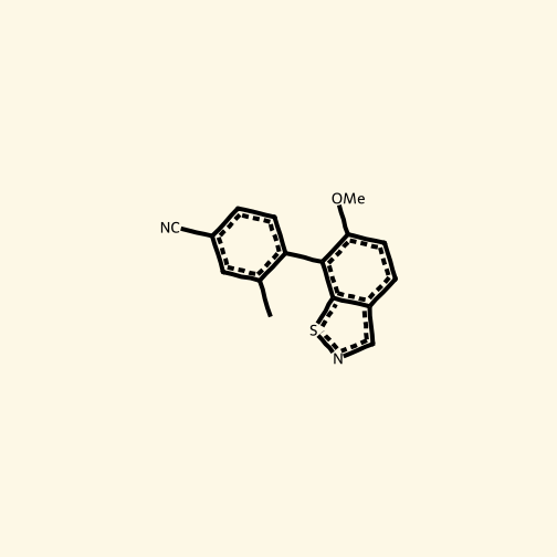 COc1ccc2cnsc2c1-c1ccc(C#N)cc1C